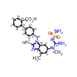 CCCc1nc2c(C)cc(N(C)C(N)=NS(N)(=O)=O)cc2n1Cc1ccc(-c2ccccc2C(=O)O)cc1